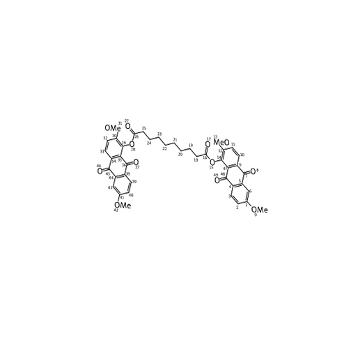 COc1ccc2c(c1)C(=O)c1ccc(OC)c(OC(=O)CCCCCCCCC(=O)Oc3c(OC)ccc4c3C(=O)c3ccc(OC)cc3C4=O)c1C2=O